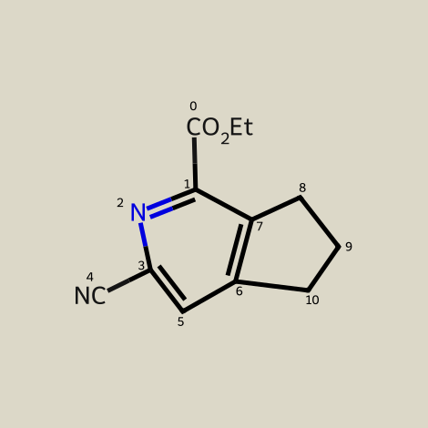 CCOC(=O)c1nc(C#N)cc2c1CCC2